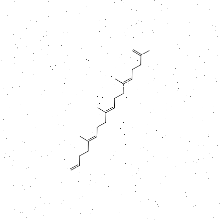 C=CCC/C(C)=C/CC/C(C)=C/CC/C(C)=C/CCC(=C)C